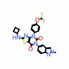 Cn1cc2cc(-n3c(=O)c4sc(NC5CCC5)nc4n(-c4ccc(OC(F)F)cc4)c3=O)ccc2n1